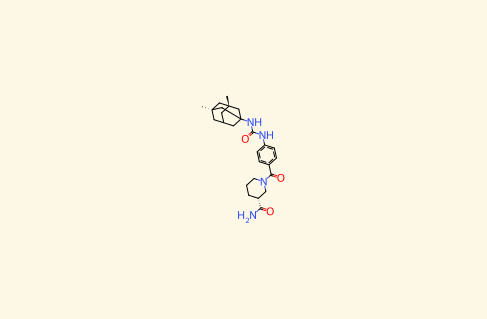 C[C@]12CC3CC(NC(=O)Nc4ccc(C(=O)N5CCC[C@@H](C(N)=O)C5)cc4)(C1)C[C@@](C)(C3)C2